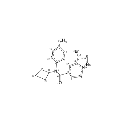 Cc1ccc(N(C(=O)c2ccn3ncc(Br)c3c2)C2CCC2)nc1